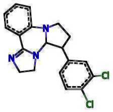 Clc1ccc(C2CCN3c4ccccc4C4=NCCN4C23)cc1Cl